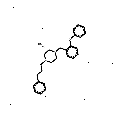 Cl.Cl.c1ccc(CCCN2CCN(Cc3ccccc3Oc3ccccc3)CC2)cc1